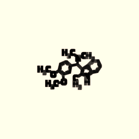 COc1ccc(C(c2c(C)[nH]c3ccccc23)N(C)C)cc1OC